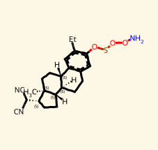 [C-]#[N+]C(C#N)[C@H]1CC[C@H]2[C@@H]3CCc4cc(OSOON)c(CC)cc4[C@H]3CC[C@]12C